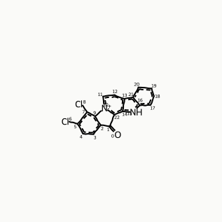 O=C1c2ccc(Cl)c(Cl)c2-[n+]2ccc3c([nH]c4ccccc43)c21